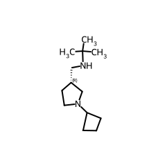 CC(C)(C)NC[C@H]1CCN(C2CCC2)C1